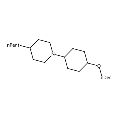 CCCCCCCCCCOC1CCC(N2CCC(CCCCC)CC2)CC1